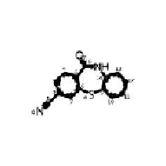 N#Cc1ccc2c(c1)Sc1ccccc1NC2=O